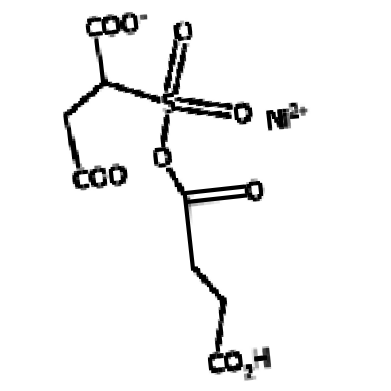 O=C([O-])CC(C(=O)[O-])S(=O)(=O)OC(=O)CCC(=O)O.[Ni+2]